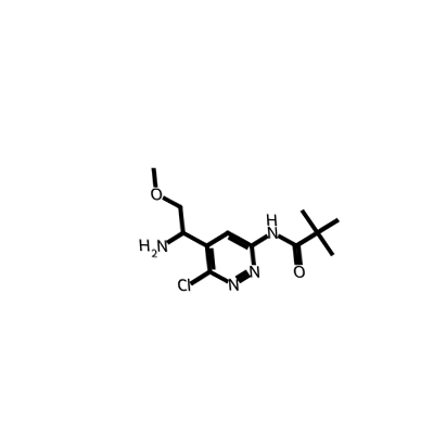 COCC(N)c1cc(NC(=O)C(C)(C)C)nnc1Cl